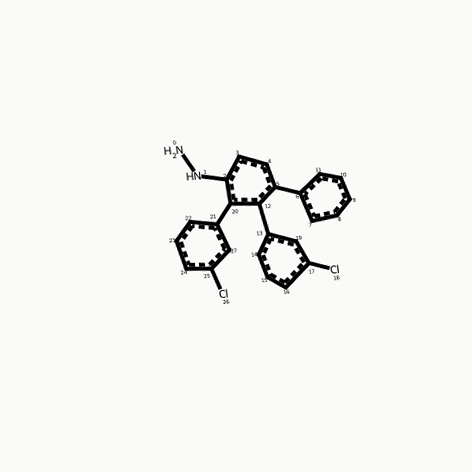 NNc1ccc(-c2ccccc2)c(-c2cccc(Cl)c2)c1-c1cccc(Cl)c1